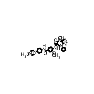 COc1cc(C(=O)N[C@H]2CC[C@H](N3CCN(C)CC3)CC2)ccc1NC1CC12CN(C1CCCC1)c1ncncc1N(C)C2=O